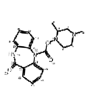 CC1CN(C)CCN1OC(=O)N1c2ccccc2NC(=O)c2ccccc21